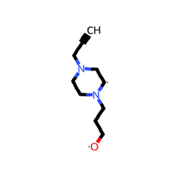 C#CCN1C[CH]N(CCC[O])CC1